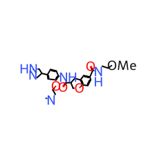 COCCNC(=O)c1ccc2c(c1)CC(C(=O)Nc1ccc(C3C=NNC3)cc1OCCN(C)C)CO2